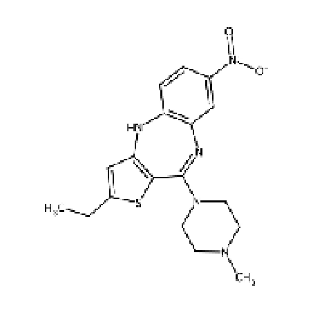 CCc1cc2c(s1)C(N1CCN(C)CC1)=Nc1cc([N+](=O)[O-])ccc1N2